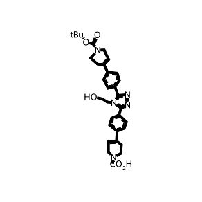 CC(C)(C)OC(=O)N1CC=C(c2ccc(-c3nnc(-c4ccc(C5=CCN(C(=O)O)CC5)cc4)n3CCO)cc2)CC1